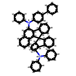 c1ccc(-c2ccc(N(c3ccccc3)c3cc4ccccc4c4c3-c3ccccc3C43c4ccccc4-c4c(N(c5ccccc5)c5ccccc5)cccc43)cc2)cc1